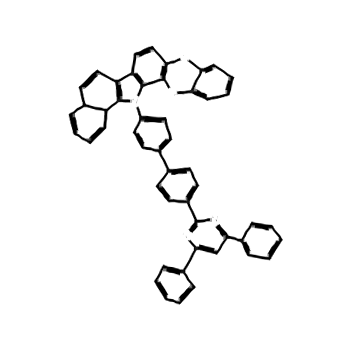 C1=CC2C=Cc3c(n(-c4ccc(-c5ccc(-c6nc(-c7ccccc7)cc(-c7ccccc7)n6)cc5)cc4)c4c5c(ccc34)Sc3ccccc3S5)C2C=C1